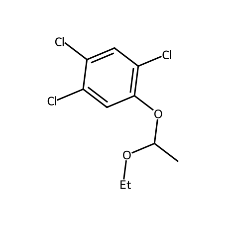 CCOC(C)Oc1cc(Cl)c(Cl)cc1Cl